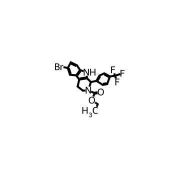 CCOC(=O)N1CCc2c([nH]c3ccc(Br)cc23)C1c1ccc(C(F)(F)F)cc1